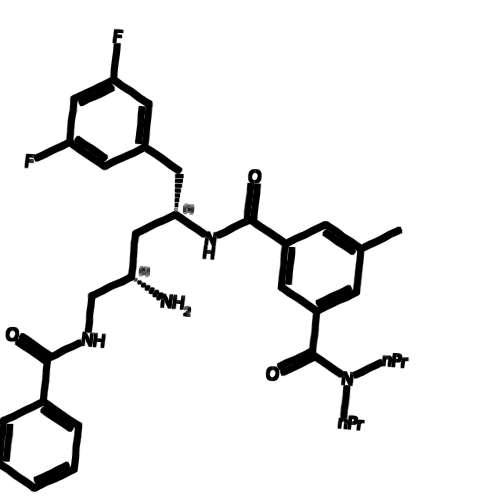 CCCN(CCC)C(=O)c1cc(C)cc(C(=O)N[C@@H](Cc2cc(F)cc(F)c2)C[C@H](N)CNC(=O)c2ccccc2)c1